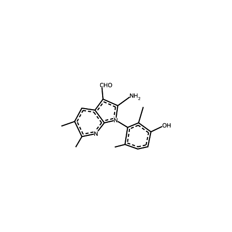 Cc1cc2c(C=O)c(N)n(-c3c(C)ccc(O)c3C)c2nc1C